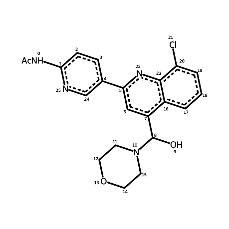 CC(=O)Nc1ccc(-c2cc(C(O)N3CCOCC3)c3cccc(Cl)c3n2)cn1